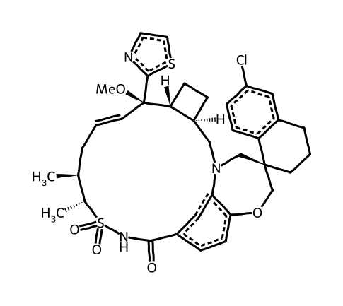 CO[C@]1(c2nccs2)/C=C/C[C@H](C)[C@@H](C)S(=O)(=O)NC(=O)c2ccc3c(c2)N(C[C@@H]2CC[C@H]21)C[C@@]1(CCCc2cc(Cl)ccc21)CO3